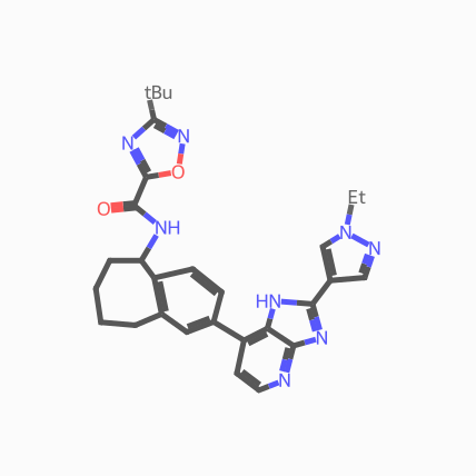 CCn1cc(-c2nc3nccc(-c4ccc5c(c4)CCCCC5NC(=O)c4nc(C(C)(C)C)no4)c3[nH]2)cn1